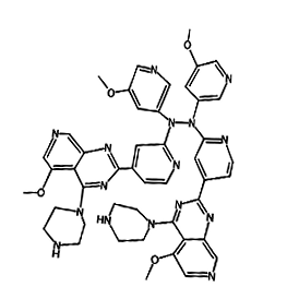 COc1cncc(N(c2cc(-c3nc(N4CCNCC4)c4c(OC)cncc4n3)ccn2)N(c2cncc(OC)c2)c2cc(-c3nc(N4CCNCC4)c4c(OC)cncc4n3)ccn2)c1